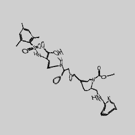 COC(=O)N1CC(OCC(=O)NCC(NS(=O)(=O)c2c(C)cc(C)cc2C)C(=O)O)CC1CNc1ccccn1